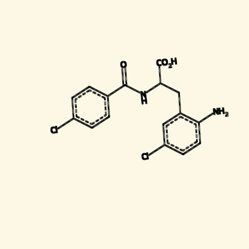 Nc1ccc(Cl)cc1CC(NC(=O)c1ccc(Cl)cc1)C(=O)O